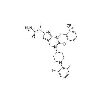 Cc1cccc(F)c1N1CCC(N2Cc3cn(C(C)C(N)=O)nc3N(Cc3ccccc3C(F)(F)F)C2=O)CC1